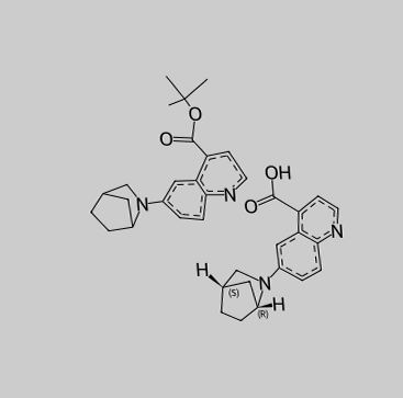 CC(C)(C)OC(=O)c1ccnc2ccc(N3CC4CCC3C4)cc12.O=C(O)c1ccnc2ccc(N3C[C@H]4CC[C@@H]3C4)cc12